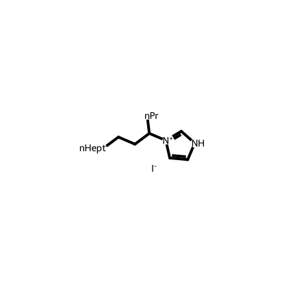 CCCCCCCCCC(CCC)[n+]1cc[nH]c1.[I-]